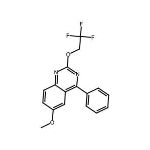 COc1ccc2nc(OCC(F)(F)F)nc(-c3ccccc3)c2c1